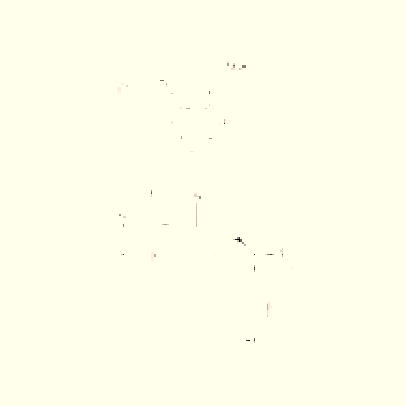 COc1ccc(-c2cc3nccnc3c(OC[C@@H]3CN(C(C)=O)CCO3)n2)cc1OC(C)C